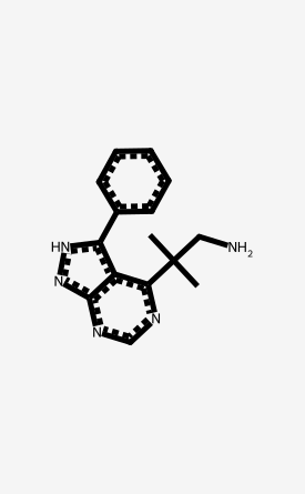 CC(C)(CN)c1ncnc2n[nH]c(-c3ccccc3)c12